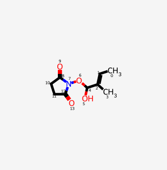 CC=C(C)C(O)ON1C(=O)CCC1=O